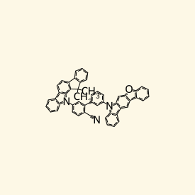 CC1(C)c2ccccc2-c2ccc3c4ccccc4n(-c4ccc(C#N)c(-c5cccc(-n6c7ccccc7c7cc8c(cc76)oc6ccccc68)c5)c4)c3c21